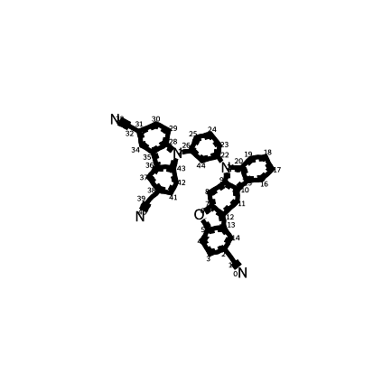 N#Cc1ccc2oc3cc4c(cc3c2c1)c1ccccc1n4-c1cccc(-n2c3ccc(C#N)cc3c3cc(C#N)ccc32)c1